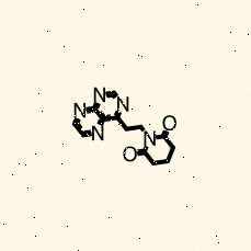 O=C1CCCC(=O)N1CCc1ncnc2nccnc12